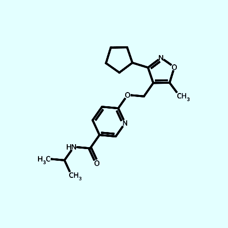 Cc1onc(C2CCCC2)c1COc1ccc(C(=O)NC(C)C)cn1